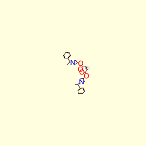 CC(c1ccccc1)N1CC(OC(=O)/C=C\C(=O)OC2CN(C(C)c3ccccc3)C2)C1